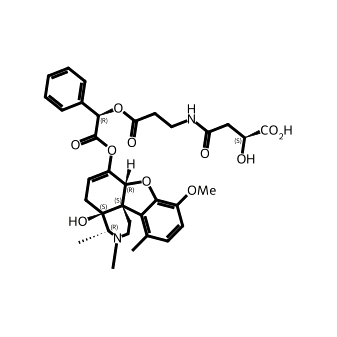 COc1ccc(C)c2c1O[C@H]1C(OC(=O)[C@H](OC(=O)CCNC(=O)C[C@H](O)C(=O)O)c3ccccc3)=CC[C@@]3(O)[C@@H](C)N(C)CC[C@]213